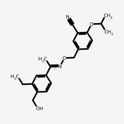 CCc1cc(/C(C)=N/OCc2ccc(OC(C)C)c(C#N)c2)ccc1CO